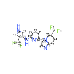 FC(F)c1ccc2ncc(-c3cccc(NC4CNCC4C(F)F)n3)n2c1